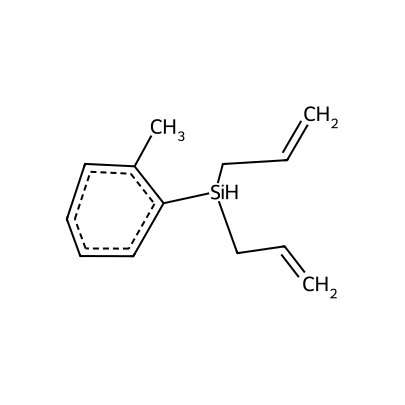 C=CC[SiH](CC=C)c1ccccc1C